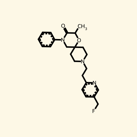 CC1OC2(CCN(CCc3ccc(CF)cn3)CC2)CN(c2ccccc2)C1=O